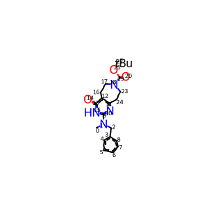 CN(Cc1ccccc1)c1nc2c(c(=O)[nH]1)CCN(C(=O)OC(C)(C)C)CC2